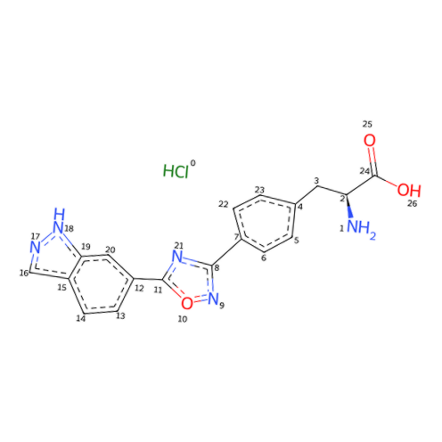 Cl.N[C@@H](Cc1ccc(-c2noc(-c3ccc4cn[nH]c4c3)n2)cc1)C(=O)O